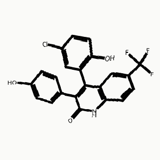 O=c1[nH]c2ccc(C(F)(F)F)cc2c(-c2cc(Cl)ccc2O)c1-c1ccc(O)cc1